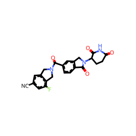 N#Cc1cc(F)c2c(c1)CN(C(=O)c1ccc3c(c1)CN(C1CCC(=O)NC1=O)C3=O)C2